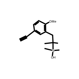 C#Cc1ccc(OC)c(CC(C)(C)[Si](C)(C)O)c1